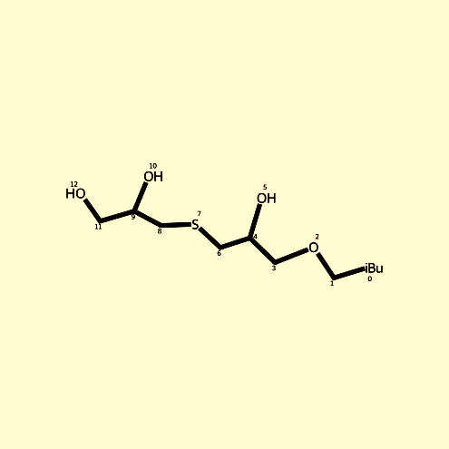 CCC(C)COCC(O)CSCC(O)CO